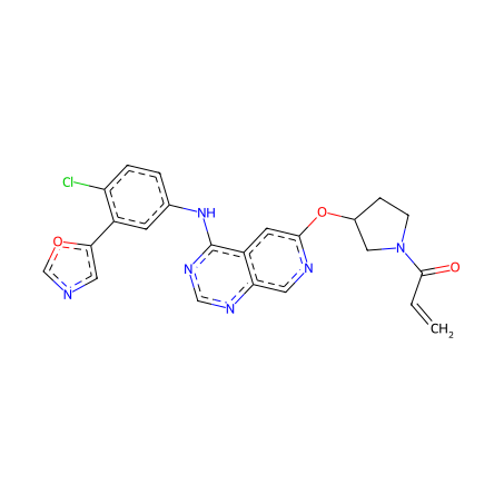 C=CC(=O)N1CCC(Oc2cc3c(Nc4ccc(Cl)c(-c5cnco5)c4)ncnc3cn2)C1